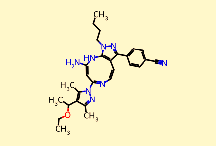 CCCCn1nc(-c2ccc(C#N)cc2)c2ccnc(-n3nc(C)c(C(C)OCC)c3C)cc(N)[nH]c21